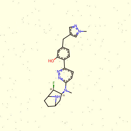 CN(c1ccc(-c2ccc(Cc3cnn(C)c3)cc2O)nn1)[C@H]1CC2CCC(N2)[C@H]1F